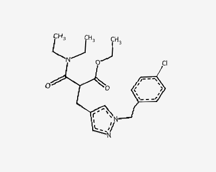 CCOC(=O)C(Cc1cnn(Cc2ccc(Cl)cc2)c1)C(=O)N(CC)CC